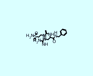 C=C(NCCS(N)(=O)=O)NC(CNC(=N)N)C(=O)NCc1ccccc1